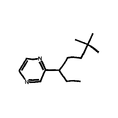 CCC(CCC(C)(C)C)c1cnccn1